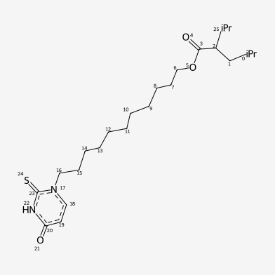 CC(C)CC(C(=O)OCCCCCCCCCCCn1ccc(=O)[nH]c1=S)C(C)C